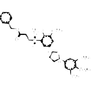 COc1cc([C@H]2CC[C@H](c3cc(OC)c(OC)c(S(=O)(=O)CCC(=O)OCc4ccccc4)c3)S2)cc(OC)c1OC